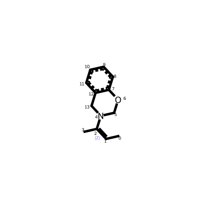 C/C=C(/C)N1COc2ccccc2C1